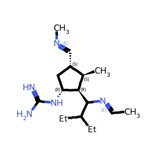 C/C=N/C(C(CC)CC)[C@@H]1[C@H](C)[C@@H](/C=N/C)C[C@H]1NC(=N)N